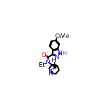 CCN(C(=O)c1n[nH]c2cc(OC)ccc12)[C@H]1CN2CCC1CC2